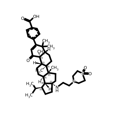 CC(C)[C@@H]1CC[C@]2(NCCN3CCS(=O)(=O)CC3)CC[C@]3(C)[C@H](CC[C@@H]4[C@@]5(C)C(=O)C=C(c6ccc(C(=O)O)cc6)C(C)(C)[C@@H]5CC[C@]43C)[C@@H]12